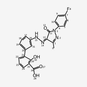 CC1=NN(c2ccc(F)cc2)C(=O)C1=NNc1cccc(-c2cccc(C(=O)O)c2O)c1